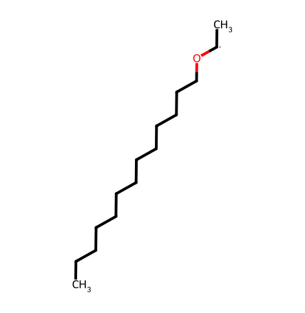 C[CH]OCCCCCCCCCCCCC